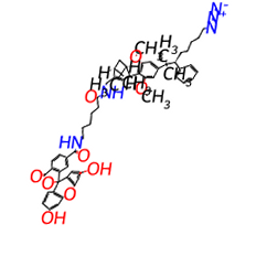 COc1cc(C(C)(C)[C@@H](CCCCCN=[N+]=[N-])c2ccccc2)cc(OC)c1[C@H]1C=C(CNC(=O)CCCCCNC(=O)c2ccc3c(c2)C2(OC3=O)c3ccc(O)cc3Oc3cc(O)ccc32)[C@H]2C[C@@H]1C2(C)C